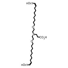 CCCCCCCC/C=C\CCCCCCCCOCCN(CCOCCCCCCCC/C=C\CCCCCCCC)CCC(=O)O